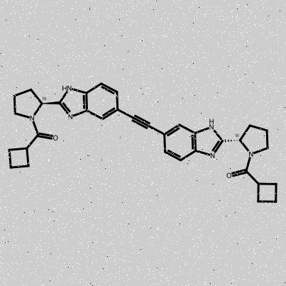 O=C(C1CCC1)N1CCC[C@H]1c1nc2cc(C#Cc3ccc4nc([C@@H]5CCCN5C(=O)C5CCC5)[nH]c4c3)ccc2[nH]1